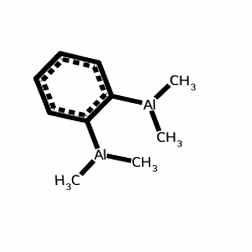 [CH3][Al]([CH3])[c]1cccc[c]1[Al]([CH3])[CH3]